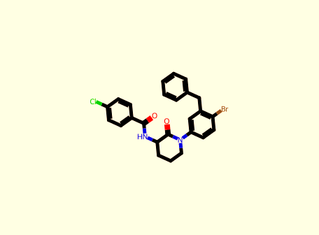 O=C(NC1CCCN(c2ccc(Br)c(Cc3ccccc3)c2)C1=O)c1ccc(Cl)cc1